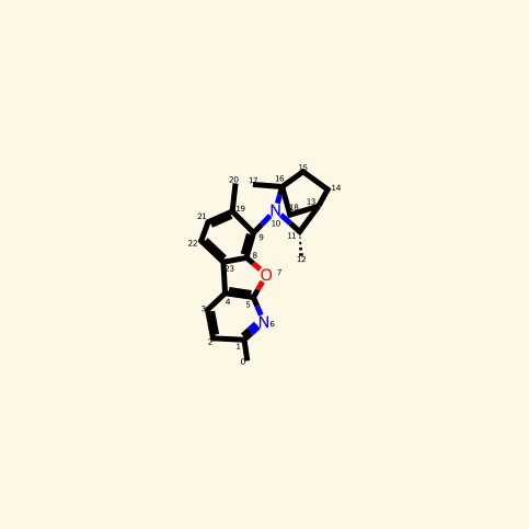 Cc1ccc2c(n1)oc1c(N3[C@@H](C)C4CCC3(C)C4)c(C)ccc12